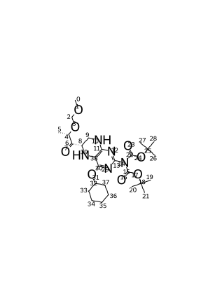 COCO[C@@H](C)C(=O)[C@@H]1CNc2nc(N(C(=O)OC(C)(C)C)C(=O)OC(C)(C)C)nc(OC3CCCCC3)c2N1